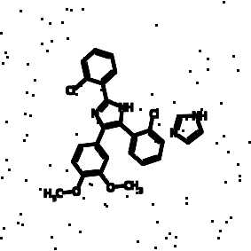 COc1ccc(-c2nc(-c3ccccc3Cl)[nH]c2-c2ccccc2Cl)cc1OC.c1c[nH]cn1